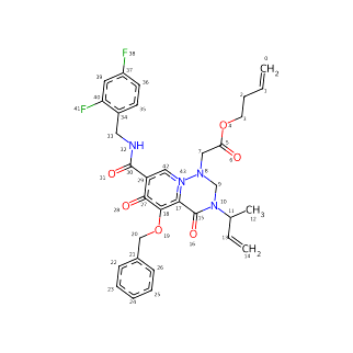 C=CCCOC(=O)CN1CN(C(C)C=C)C(=O)c2c(OCc3ccccc3)c(=O)c(C(=O)NCc3ccc(F)cc3F)cn21